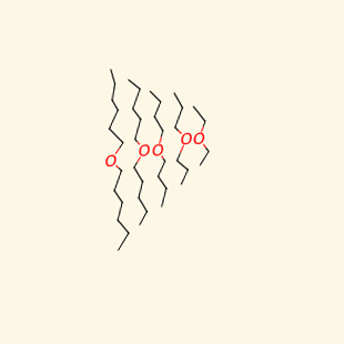 CCCCCCOCCCCCC.CCCCCOCCCCC.CCCCOCCCC.CCCOCCC.CCOCC